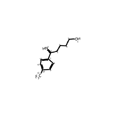 N=C(CCCCO)c1ccc(C(F)(F)F)cc1